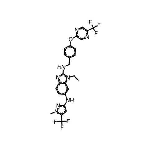 CCn1c(NCc2ccc(Oc3cnc(C(F)(F)F)cn3)cc2)nc2ccc(Nc3cc(C(F)(F)F)n(C)n3)cc21